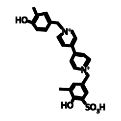 Cc1cc(C[n+]2ccc(-c3cc[n+](Cc4cc(C)c(O)c(S(=O)(=O)O)c4)cc3)cc2)ccc1O